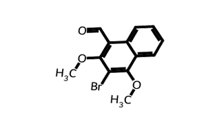 COc1c(Br)c(OC)c2ccccc2c1C=O